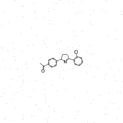 CC(=O)c1ccc(C2CCC(c3ccccc3Cl)=N2)cc1